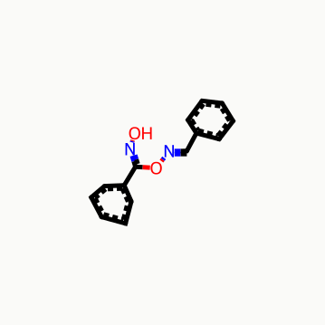 ON=C(ON=Cc1ccccc1)c1ccccc1